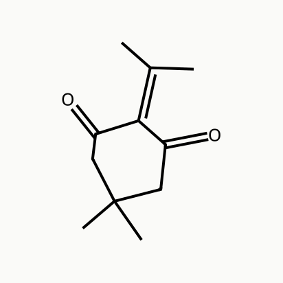 CC(C)=C1C(=O)CC(C)(C)CC1=O